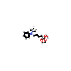 CO[Si](CCCCN(c1ccccc1)[Si](C)(C)C)(OC)OC